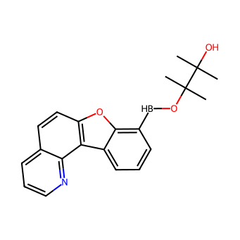 CC(C)(O)C(C)(C)OBc1cccc2c1oc1ccc3cccnc3c12